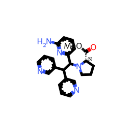 COC(=O)[C@@H]1CCCN1C(c1cccc(N)n1)C(c1cccnc1)c1cccnc1